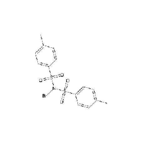 Cc1ccc(S(=O)(=O)N(Br)S(=O)(=O)c2ccc(C)cc2)cc1